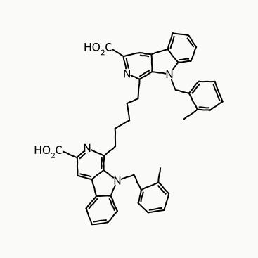 Cc1ccccc1Cn1c2ccccc2c2cc(C(=O)O)nc(CCCCCc3nc(C(=O)O)cc4c5ccccc5n(Cc5ccccc5C)c34)c21